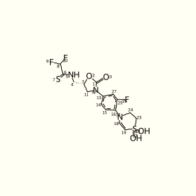 O=C1O[C@@H](CNC(=S)C(F)F)CN1c1ccc(N2C=CS(O)(O)CC2)c(F)c1